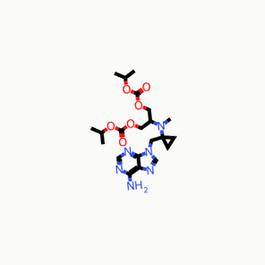 CC(C)OC(=O)OCC(COC(=O)OC(C)C)N(C)C1(Cn2cnc3c(N)ncnc32)CC1